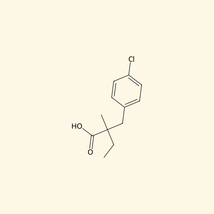 CCC(C)(Cc1ccc(Cl)cc1)C(=O)O